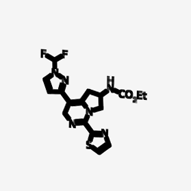 CCOC(=O)NC1CC2=C(c3ccn(C(F)F)n3)CN=C(c3nccs3)N2C1